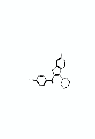 O=C(C1=C(C2CCCCC2)c2ccc(O)cc2C1)c1ccc(O)cc1